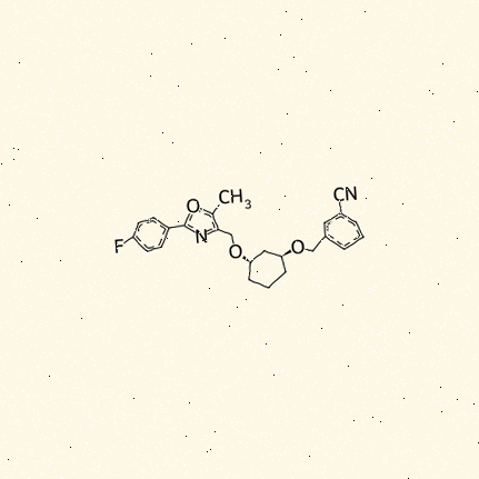 Cc1oc(-c2ccc(F)cc2)nc1CO[C@@H]1CCC[C@H](OCc2cccc(C#N)c2)C1